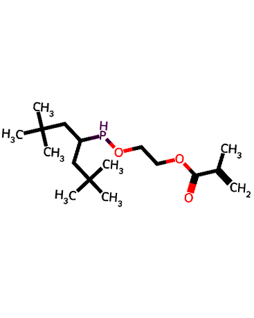 C=C(C)C(=O)OCCOPC(CC(C)(C)C)CC(C)(C)C